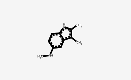 CNc1ccc2[nH]c(C)c(C)c2c1